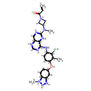 C=CC(=O)N1CC(N(C)c2ncc3ncnc(Nc4ccc(Oc5ccc6c(c5)nnn6C)c(C)c4F)c3n2)C1